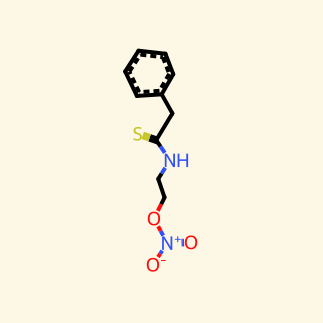 O=[N+]([O-])OCCNC(=S)Cc1ccccc1